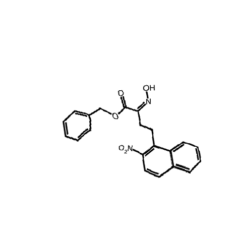 O=C(OCc1ccccc1)C(CCc1c([N+](=O)[O-])ccc2ccccc12)=NO